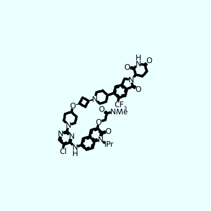 CNC(=O)COc1cc2cc(Nc3nc(N4CCC(O[C@H]5C[C@H](N6CCC(c7cc8c(cc7C(F)(F)F)C(=O)N(C7CCC(=O)NC7=O)C8)CC6)C5)CC4)ncc3Cl)ccc2n(C(C)C)c1=O